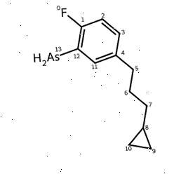 Fc1ccc(CCCC2CC2)cc1[AsH2]